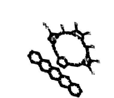 CCC1=C(CC)c2nc1c(CC)c1[nH]c(cc3nc(cc4c(CC)c(CC)c(c2CC)n4CC)C=C3)cc1CC.[Pt].c1ccc2cc3cc4cc5ccccc5cc4cc3cc2c1